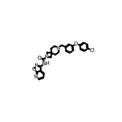 O=C(Nc1noc2ncccc12)N1CC2(CCN(Cc3cccc(Oc4ccc(Cl)cc4)c3)CC2)C1